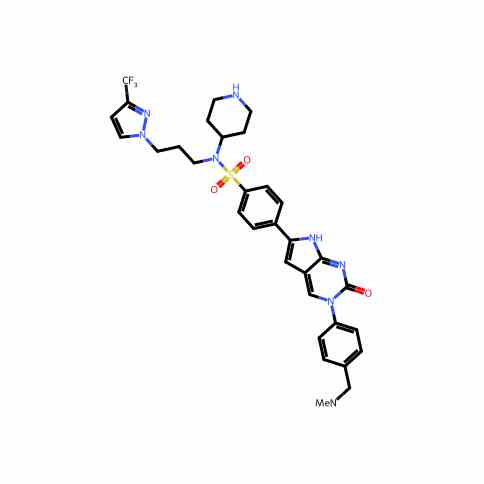 CNCc1ccc(-n2cc3cc(-c4ccc(S(=O)(=O)N(CCCn5ccc(C(F)(F)F)n5)C5CCNCC5)cc4)[nH]c3nc2=O)cc1